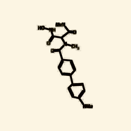 CNC(=O)C(C(=O)NO)N(C)C(=O)c1ccc(-c2ccc(NC)cc2)cc1